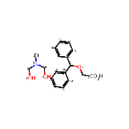 CCN(CO)CO.O=C(O)COC(c1ccccc1)c1ccccc1